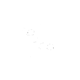 CCc1cc(NC(=O)C(=O)N2CC(C)CCC2c2ccc3c(c2)OC2(CCC2)O3)cnc1N